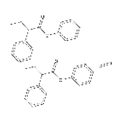 C=O.CCC(C(=O)Oc1ccccc1)c1ccccc1.CCC(C(=O)Oc1ccccc1)c1ccccc1